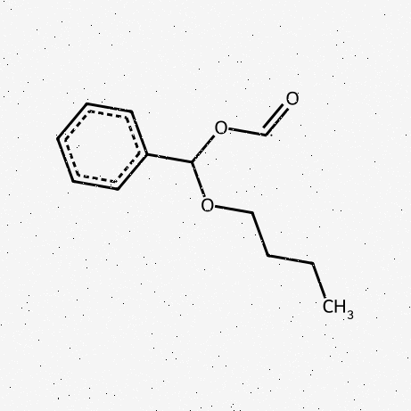 CCCCOC(O[C]=O)c1ccccc1